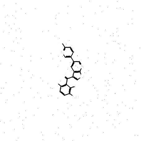 Nc1ccc(F)c(C(=O)c2c[nH]c3ncc(-c4ccc(Cl)nc4)cc23)c1F